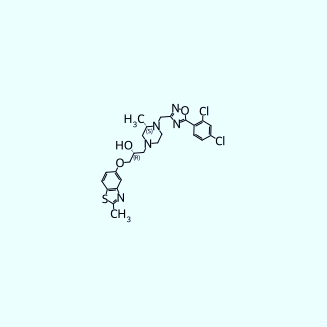 Cc1nc2cc(OC[C@H](O)CN3CCN(Cc4noc(-c5ccc(Cl)cc5Cl)n4)[C@@H](C)C3)ccc2s1